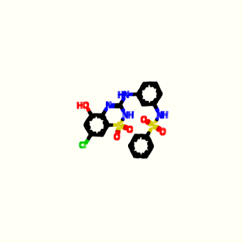 O=S(=O)(Nc1cccc(NC2=Nc3c(O)cc(Cl)cc3S(=O)(=O)N2)c1)c1ccccc1